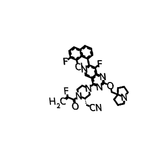 C=C(F)C(=O)N1CCN(c2nc(OCC34CCCN3CCC4)nc3c(F)c(-c4cccc5ccc(F)c(Cl)c45)ncc23)C[C@@H]1CC#N